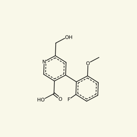 COc1cccc(F)c1-c1cc(CO)ncc1C(=O)O